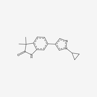 CC1(C)C(=O)Nc2cc(-c3cnn(C4CC4)c3)ccc21